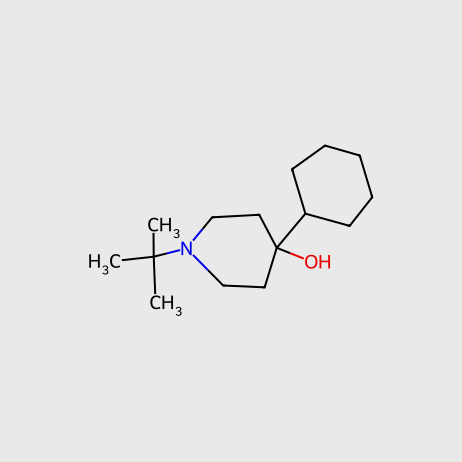 CC(C)(C)N1CCC(O)(C2CCCCC2)CC1